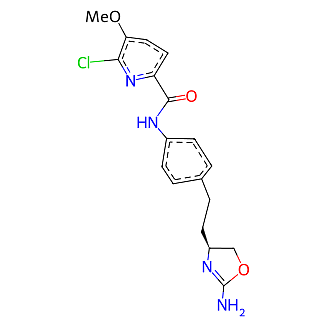 COc1ccc(C(=O)Nc2ccc(CC[C@H]3COC(N)=N3)cc2)nc1Cl